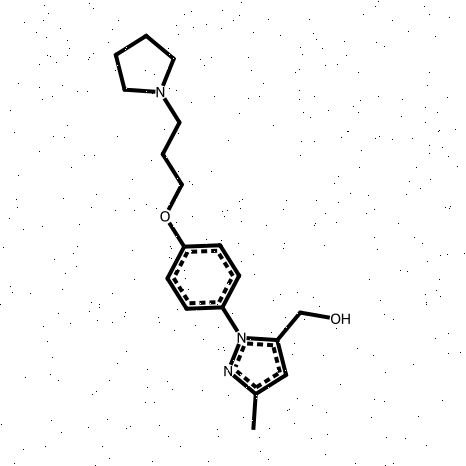 Cc1cc(CO)n(-c2ccc(OCCCN3CCCC3)cc2)n1